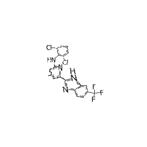 FC(F)(F)c1ccc2nc(-c3csc(Nc4c(Cl)cccc4Cl)n3)[nH]c2c1